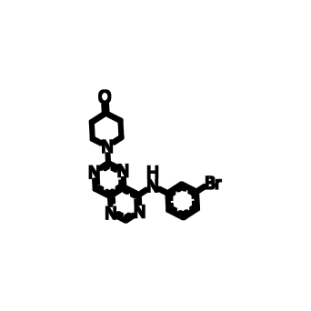 O=C1CCN(c2ncc3ncnc(Nc4cccc(Br)c4)c3n2)CC1